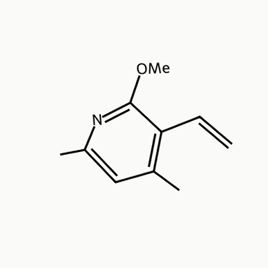 C=Cc1c(C)cc(C)nc1OC